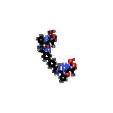 COC(=O)N[C@H](C(=O)N[C@H](c1ncc(-c2ccc(-c3ccc(-c4cnc([C@@H]5C6CCC(C6)N5C(=O)[C@@H](NC(=O)OC)C(C)C)[nH]4)cc3)cc2)n1C)C1CCCC1)C(C)C